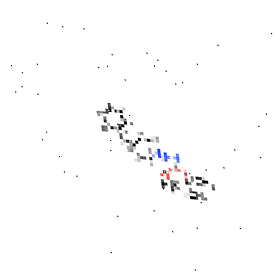 CC(C)(C)OC(=O)NN1CCC(=Cc2ccccc2)CC1